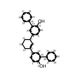 Oc1ccc(C2=CC(c3ccc(O)c(-c4ccccc4)c3)CCC2)cc1-c1ccccc1